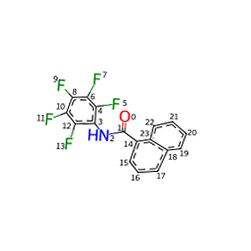 O=C(Nc1c(F)c(F)c(F)c(F)c1F)c1cccc2ccccc12